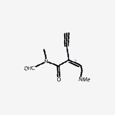 C#C/C(=C/NC)C(=O)N(C)C=O